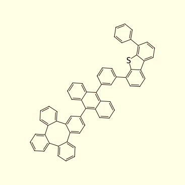 c1ccc(-c2cccc3c2sc2c(-c4cccc(-c5c6ccccc6c(-c6ccc7c(c6)-c6ccccc6-c6ccccc6-c6ccccc6-7)c6ccccc56)c4)cccc23)cc1